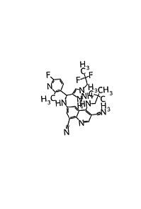 Cc1nc(F)ccc1[C@H](Nc1cc(C#N)c2ncc(C#N)c(NCC(C)(C)C)c2c1)C1=CN(CC(C)(F)F)NN1